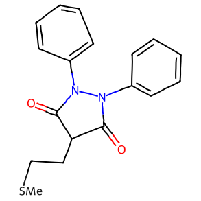 CSCCC1C(=O)N(c2ccccc2)N(c2ccccc2)C1=O